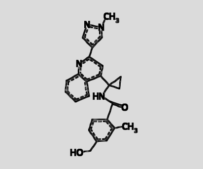 Cc1cc(CO)ccc1C(=O)NC1(c2cc(-c3cnn(C)c3)nc3ccccc23)CC1